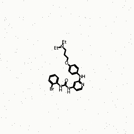 CCN(CC)CCCOc1ccc(Nc2cc(NC(=O)Nc3ccccc3Br)ccn2)cc1